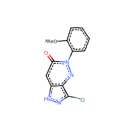 COc1ccccc1-n1nc2c(Cl)n[nH]c2cc1=O